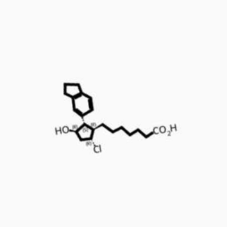 O=C(O)CCCCCC[C@@H]1[C@@H](c2ccc3c(c2)CCC3)[C@H](O)C[C@H]1Cl